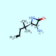 C=CCC(C)(C)[C@H]1NC(=O)[C@H]1N